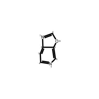 [c]1nc2ccncc2o1